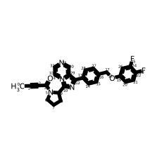 CC#CC(=O)N1CCCC1c1nc(-c2ccc(COc3ccc(F)c(F)c3)cc2)c2cnccn12